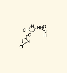 CNC(=O)CNc1cc(OCc2ccc(Cl)cn2)c(Cl)cn1